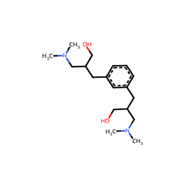 CN(C)CC(CO)Cc1cccc(CC(CO)CN(C)C)c1